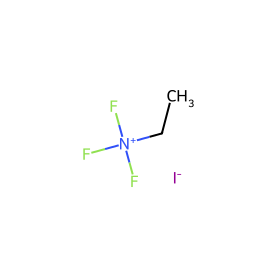 CC[N+](F)(F)F.[I-]